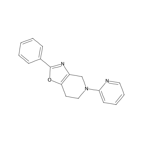 c1ccc(-c2nc3c(o2)CCN(c2ccccn2)C3)cc1